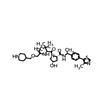 Cc1ncsc1-c1ccc([C@H](C)NC(=O)[C@@H]2C[C@H](O)CN2C(=O)[C@@H](NC(=O)COCC2CCNCC2)C(C)(C)C)cc1